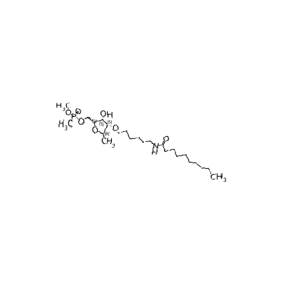 CCCCCCCCCC(=O)NCCCCCCO[C@H]1[C@@H](O)[C@H](COP(C)(=O)OC)O[C@@H]1C